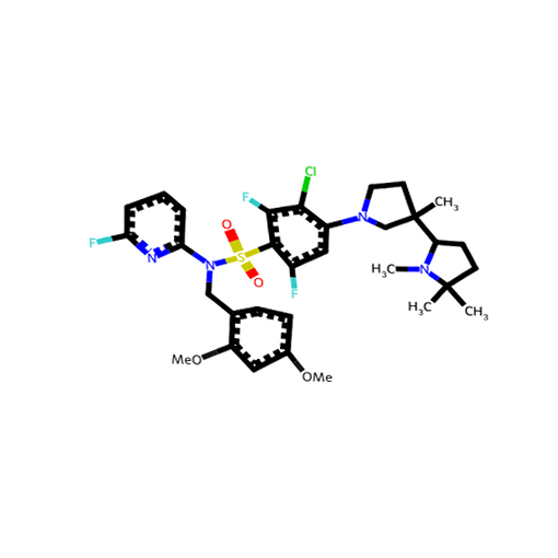 COc1ccc(CN(c2cccc(F)n2)S(=O)(=O)c2c(F)cc(N3CCC(C)(C4CCC(C)(C)N4C)C3)c(Cl)c2F)c(OC)c1